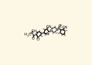 CN(C)C(=O)c1ccc(-c2cnc(N3CCN([S@@+]([O-])c4ccccc4C#N)CC3)c(C#N)c2)cc1Cl